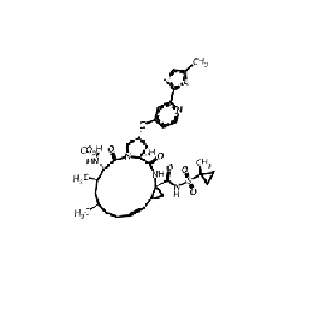 Cc1cnc(-c2cc(O[C@@H]3C[C@H]4C(=O)N[C@]5(C(=O)NS(=O)(=O)C6(C)CC6)CC5/C=C\CC[C@@H](C)C[C@@H](C)[C@H](NC(=O)O)C(=O)N4C3)ccn2)s1